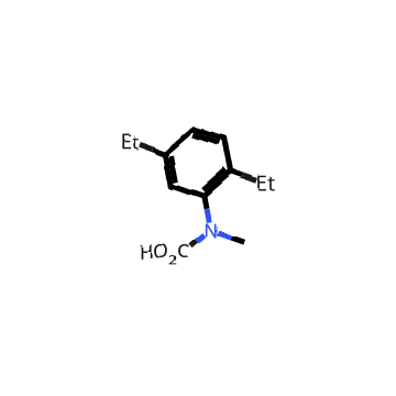 CCc1ccc(CC)c(N(C)C(=O)O)c1